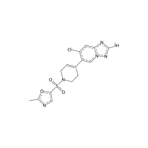 [2H]c1nc2cc(Cl)c(C3=CCN(S(=O)(=O)c4cnc(C)o4)CC3)cn2n1